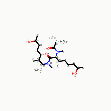 CC[C@H](C)[C@H](NC)C(=O)N(C)[C@H](C(=O)N(C)[C@H]([C]=O)[C@@H](C)CCCC(C)O)[C@@H](C)CCCC(C)O